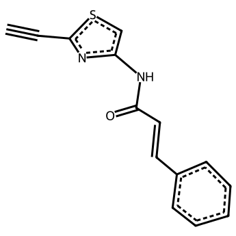 C#Cc1nc(NC(=O)C=Cc2ccccc2)cs1